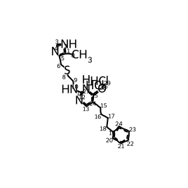 Cc1[nH]cnc1CSCCNc1ncc(CCCCc2ccccc2)c(=O)[nH]1.Cl.Cl